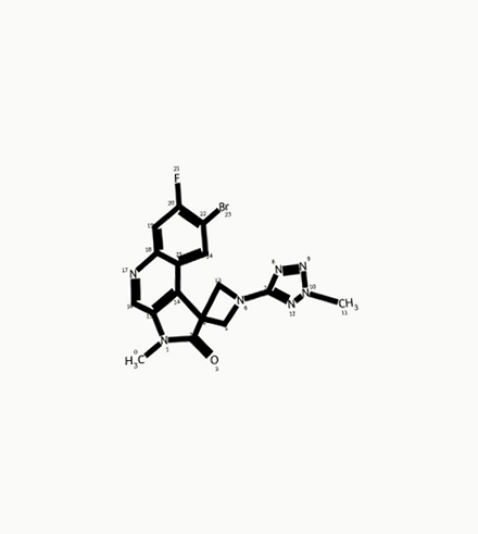 CN1C(=O)C2(CN(c3nnn(C)n3)C2)c2c1cnc1cc(F)c(Br)cc21